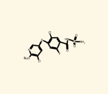 CC(C)COc1ncc(Oc2cc(F)c(C(=O)NS(N)(=O)=O)cc2Cl)cc1Cl